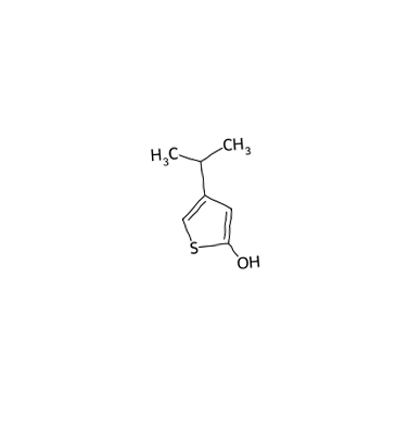 CC(C)c1csc(O)c1